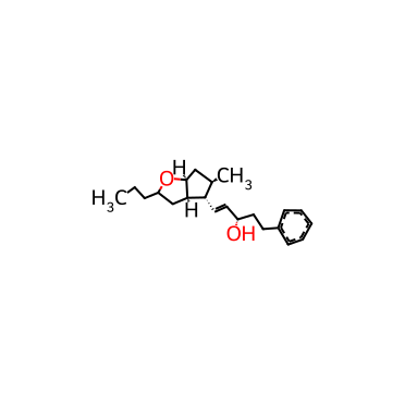 CCCC1C[C@@H]2[C@@H](/C=C/[C@@H](O)CCc3ccccc3)[C@H](C)C[C@@H]2O1